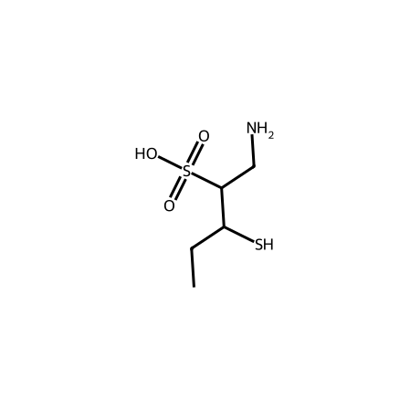 CCC(S)C(CN)S(=O)(=O)O